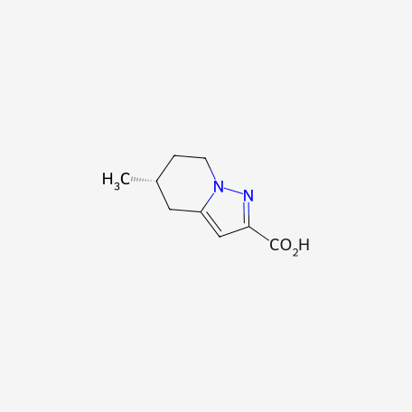 C[C@@H]1CCn2nc(C(=O)O)cc2C1